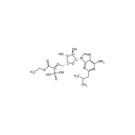 CCOC(=O)[C@@H](OC[C@H]1O[C@@H](n2cnc3c(N)nc(CC(C)C)nc32)[C@H](O)[C@H]1O)P(=O)(O)O